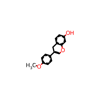 COc1ccc(C2=COc3cc(O)ccc3C2)cc1